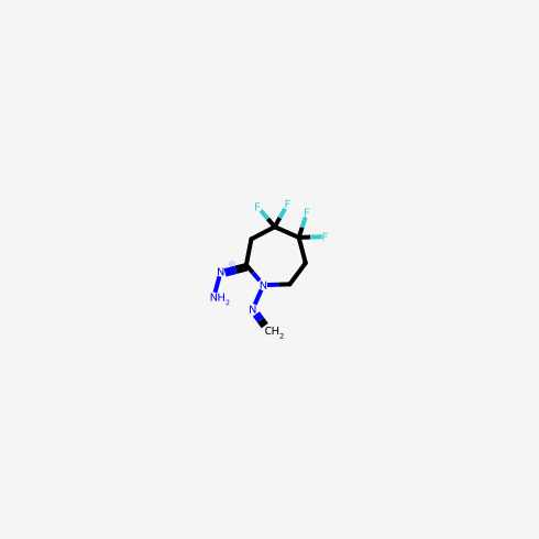 C=NN1CCC(F)(F)C(F)(F)C/C1=N/N